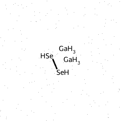 [GaH3].[GaH3].[SeH][SeH]